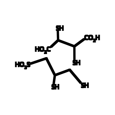 O=C(O)C(S)C(S)C(=O)O.O=S(=O)(O)CC(S)CS